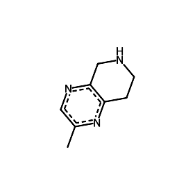 Cc1cnc2c(n1)CCNC2